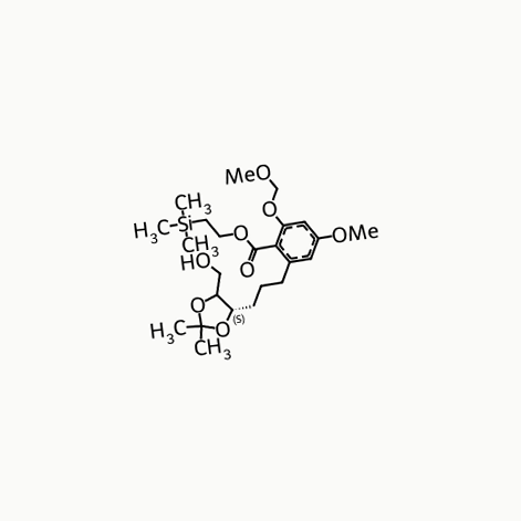 COCOc1cc(OC)cc(CCC[C@@H]2OC(C)(C)OC2CO)c1C(=O)OCC[Si](C)(C)C